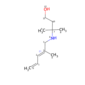 C=C/C=C(\C)CNC(C)(C)CCO